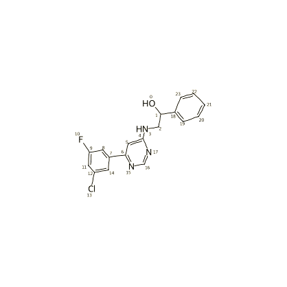 OC(CNc1cc(-c2cc(F)cc(Cl)c2)ncn1)c1ccccc1